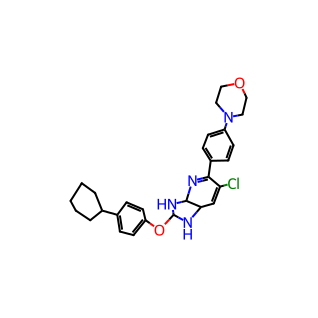 ClC1=CC2NC(Oc3ccc(C4CCCCC4)cc3)NC2N=C1c1ccc(N2CCOCC2)cc1